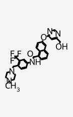 CN1CCN(Cc2ccc(NC(=O)c3cccc4cc(Oc5cc(CO)ncn5)ccc34)cc2C(F)(F)F)CC1